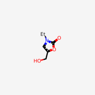 CCn1cc(CO)oc1=O